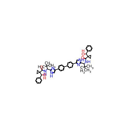 CC(C)(C)[C@H](NC(=O)C1(C(O)c2ccccc2)CC1)c1nc(-c2ccc(-c3ccc(-c4c[nH]c([C@@H](NC(=O)C5(C(O)c6ccccc6)CC5)C(C)(C)C)n4)cc3)cc2)c[nH]1